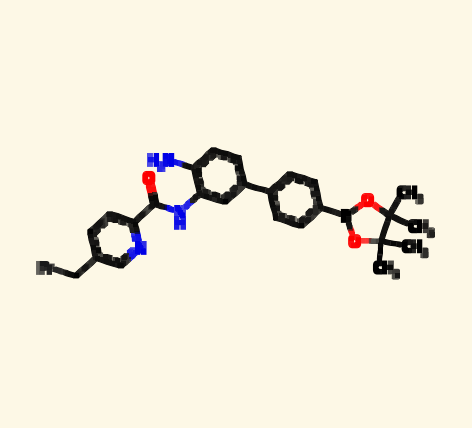 CC(C)Cc1ccc(C(=O)Nc2cc(-c3ccc(B4OC(C)(C)C(C)(C)O4)cc3)ccc2N)nc1